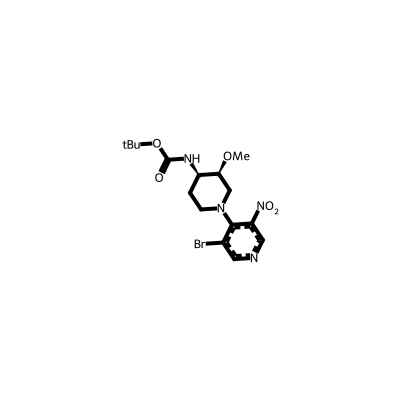 CO[C@H]1CN(c2c(Br)cncc2[N+](=O)[O-])CC[C@H]1NC(=O)OC(C)(C)C